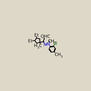 CCC1CC(C)(/C(CC=O)=N/N(C)c2ccc(C)cc2Cl)CC1CC